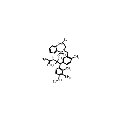 CCNc1ccc(C(c2ccc(C)c(CN3C[C@@H](CC)Oc4ccccc4S3(=O)=O)c2)C(C)(C)NC(N)=O)c(C)c1N